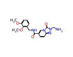 COc1cccc(CNC(=O)c2ccc3nn(CN)c(=O)n3c2)c1OC